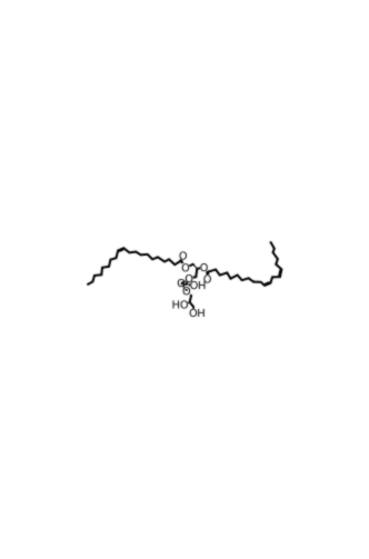 CCCCC/C=C\C/C=C\CCCCCCCCCC(=O)O[C@H](COC(=O)CCCCCCCCC/C=C\CCCCCCCC)COP(=O)(O)OC[C@@H](O)CO